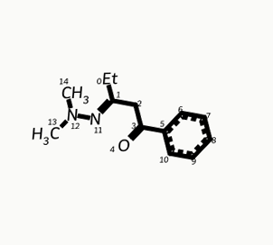 CCC(CC(=O)c1ccccc1)=NN(C)C